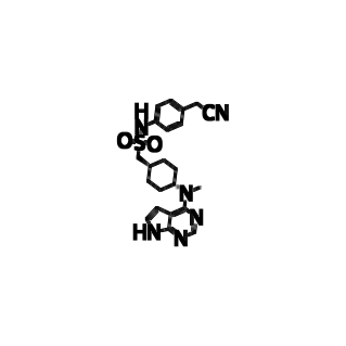 CN(c1ncnc2[nH]ccc12)[C@H]1CC[C@H](CS(=O)(=O)Nc2ccc(CC#N)cc2)CC1